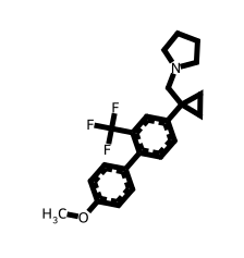 COc1ccc(-c2ccc(C3(CN4CCCC4)CC3)cc2C(F)(F)F)cc1